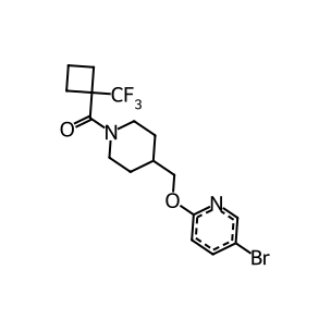 O=C(N1CCC(COc2ccc(Br)cn2)CC1)C1(C(F)(F)F)CCC1